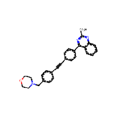 O=C(O)c1nc(-c2ccc(C#Cc3ccc(CN4CCOCC4)cc3)cc2)c2ccccc2n1